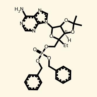 CCC1(COP(=O)(OCc2ccccc2)OCc2ccccc2)OC(n2cnc3c(N)ncnc32)C2OC(C)(C)O[C@H]21